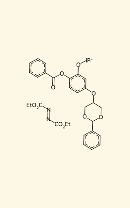 CC(C)Oc1cc(OC2COC(c3ccccc3)OC2)ccc1OC(=O)c1ccccc1.CCOC(=O)N=NC(=O)OCC